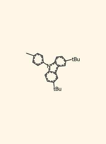 Cc1ccc(-n2c3ccc(C(C)(C)C)cc3c3cc(C(C)(C)C)ccc32)cc1